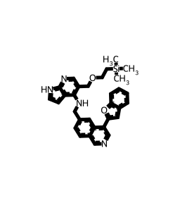 C[Si](C)(C)CCOCc1cnc2[nH]ccc2c1NCc1ccc2cncc(-c3cc4ccccc4o3)c2c1